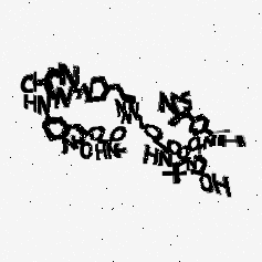 CNC(=O)COc1cc2cc(Nc3nc(N4CCC(Cc5cn(CCOCC(=O)N[C@H](C(=O)N6C[C@H](O)C[C@H]6C(=O)N[C@@H](C)c6ccc(-c7scnc7C)cc6)C(C)(C)C)nn5)CC4)ncc3Cl)ccc2n(C)c1=O